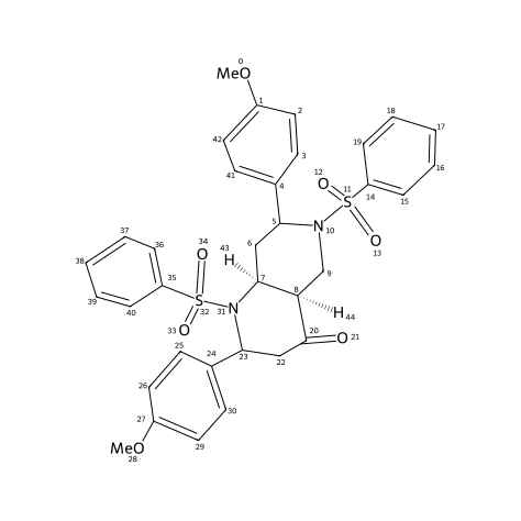 COc1ccc(C2C[C@H]3[C@@H](CN2S(=O)(=O)c2ccccc2)C(=O)CC(c2ccc(OC)cc2)N3S(=O)(=O)c2ccccc2)cc1